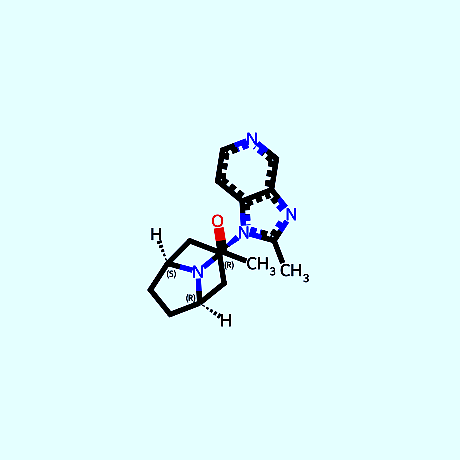 CC(=O)N1[C@@H]2CC[C@H]1C[C@@H](n1c(C)nc3cnccc31)C2